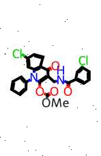 COC(=O)Oc1c(CNC(=O)c2cccc(Cl)c2)c(=O)c2ccc(Cl)cc2n1-c1ccccc1